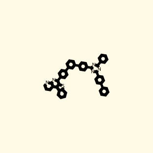 c1ccc(-c2ccc(-c3nc(-c4ccccc4)nc(-c4ccc(-c5cccc(-c6ccc(-c7nc8ncccc8c8c7sc7ccccc78)cc6)c5)cc4)n3)cc2)cc1